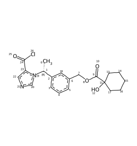 C[C@H](c1cccc(COC(=O)C2(O)CCCCC2)c1)n1cncc1C(=O)Cl